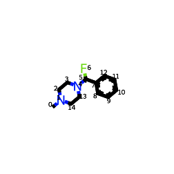 CN1CCN([C](F)c2ccccc2)CC1